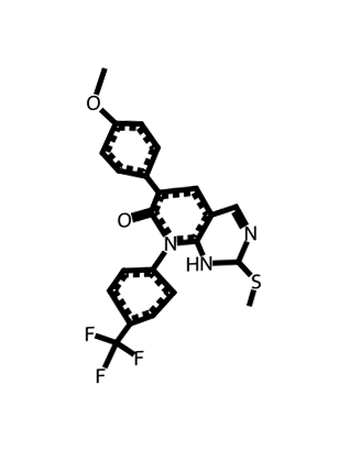 COc1ccc(-c2cc3c(n(-c4ccc(C(F)(F)F)cc4)c2=O)NC(SC)N=C3)cc1